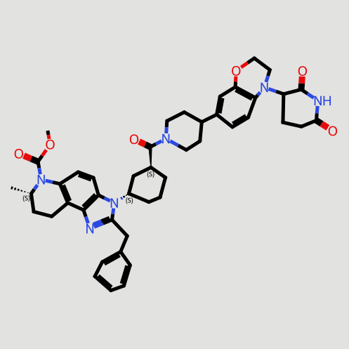 COC(=O)N1c2ccc3c(nc(Cc4ccccc4)n3[C@H]3CCC[C@H](C(=O)N4CCC(c5ccc6c(c5)OCCN6C5CCC(=O)NC5=O)CC4)C3)c2CC[C@@H]1C